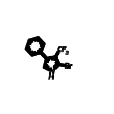 FC(F)(F)c1c(-c2ccccc2)c[nH]c1Br